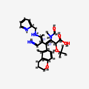 C/C(NCc1ccccn1)=C(C=N)\C(=C(\C(OC(C)(C)C)C(=O)O)N(C)C=O)c1ccc2c(c1C)CCCO2